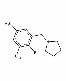 Cc1cc(CN2CCCC2)c(F)c(C(F)(F)F)c1